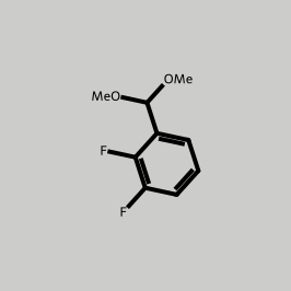 COC(OC)c1cccc(F)c1F